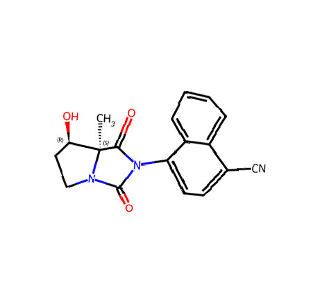 C[C@]12C(=O)N(c3ccc(C#N)c4ccccc34)C(=O)N1CC[C@H]2O